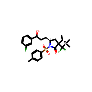 CCC1(C(F)(F)[Si](C)(C)C)C[C@H](CCC(O)c2cccc(F)c2)N(S(=O)(=O)c2ccc(C)cc2)C1=O